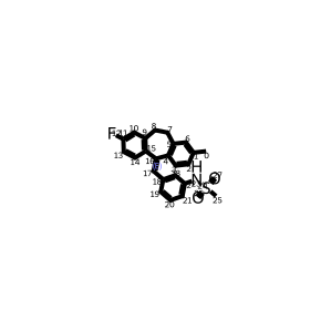 Cc1ccc2c(c1)CCc1cc(F)ccc1/C2=C/c1cccc(NS(C)(=O)=O)c1